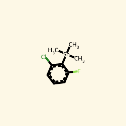 [CH3][Sn]([CH3])([CH3])[c]1c(F)cccc1Cl